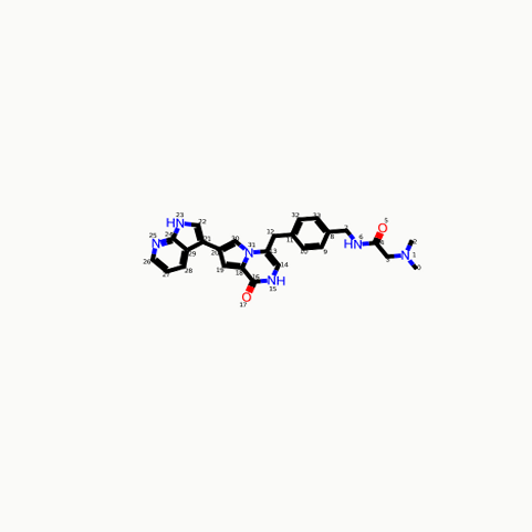 CN(C)CC(=O)NCc1ccc(Cc2c[nH]c(=O)c3cc(-c4c[nH]c5ncccc45)cn23)cc1